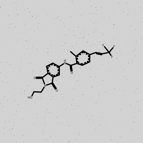 Cc1cc(/C=C/C(F)(F)F)ccc1C(=O)Nc1ccc2c(c1)C(=O)N(CCO)C2=O